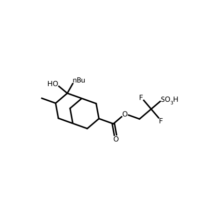 CCCCC1(O)C(C)CC2CC(C(=O)OCC(F)(F)S(=O)(=O)O)CC1C2